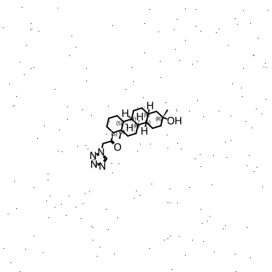 C[C@@]1(O)CC[C@H]2[C@H](CC[C@@H]3[C@@H]2CC[C@]2(C)[C@@H](C(=O)Cn4cnnn4)CCC[C@@H]32)C1